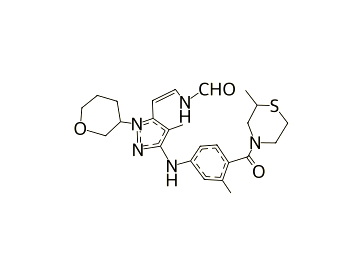 Cc1cc(Nc2nn(C3CCCOC3)c(/C=C\NC=O)c2C)ccc1C(=O)N1CCSC(C)C1